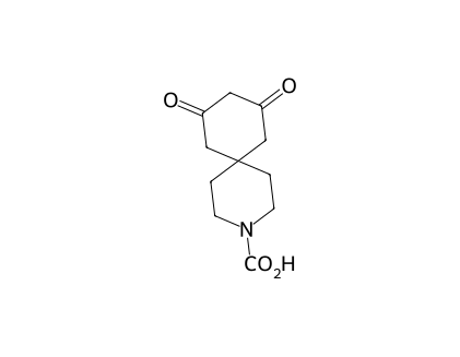 O=C1CC(=O)CC2(CCN(C(=O)O)CC2)C1